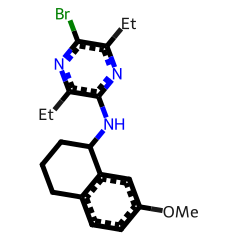 CCc1nc(NC2CCCc3ccc(OC)cc32)c(CC)nc1Br